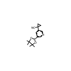 CC1(C)OB(c2cncc(C3(C#N)CC3)c2)OC1(C)C